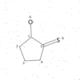 [O]C1CCCC1=S